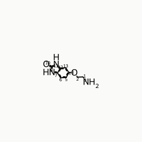 NCCOc1ccc2[nH]c(=O)[nH]c2c1